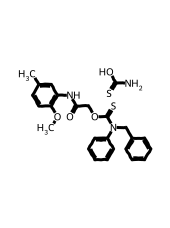 COc1ccc(C)cc1NC(=O)COC(=S)N(Cc1ccccc1)c1ccccc1.NC(O)=S